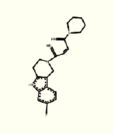 N=C(/C=C\C(=N)N1CCc2[nH]c3cc(F)ccc3c2C1)N1CCCCC1